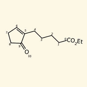 CCOC(=O)CCCCC1=CCCC1=O